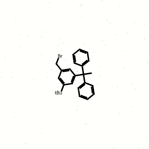 CC(C)(C)c1cc(CBr)cc(C(C)(c2ccccc2)c2ccccc2)c1